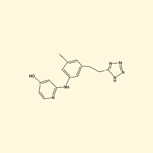 Cc1cc(CCc2nnn[nH]2)cc(Nc2cc(O)ccn2)c1